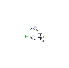 F/C=C/C(F)(F)F.F/C=C\C(F)(F)F